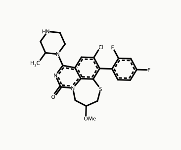 COC1CSc2c(-c3ccc(F)cc3F)c(Cl)cc3c(N4CCNCC4C)nc(=O)n(c23)C1